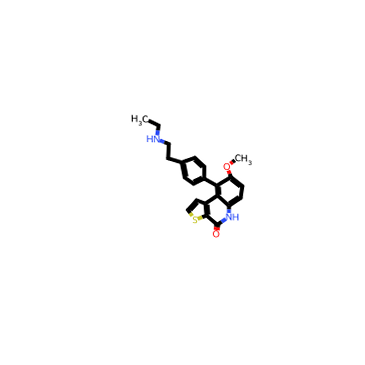 CCNCCc1ccc(-c2c(OC)ccc3[nH]c(=O)c4sccc4c23)cc1